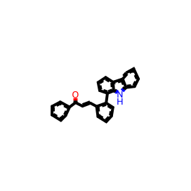 O=C(C=Cc1ccccc1-c1cccc2c1[nH]c1ccccc12)c1ccccc1